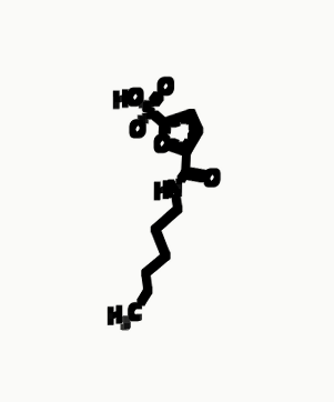 CCCCCCNC(=O)c1ccc(S(=O)(=O)O)o1